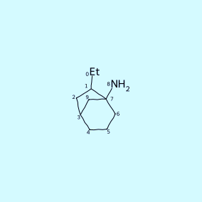 CCC1CC2CCCC1(N)C2